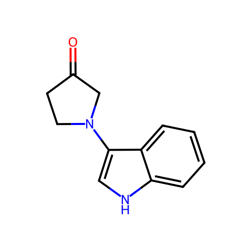 O=C1CCN(c2c[nH]c3ccccc23)C1